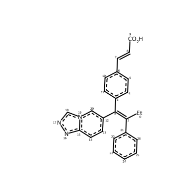 CCC(=C(c1ccc(C=CC(=O)O)cc1)c1ccc2nncn2c1)c1ccccc1